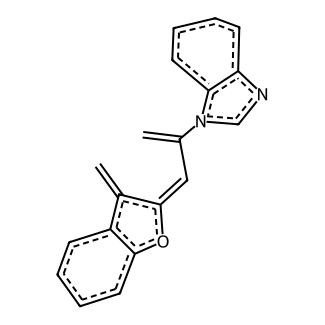 C=C(/C=c1/oc2ccccc2c1=C)n1cnc2ccccc21